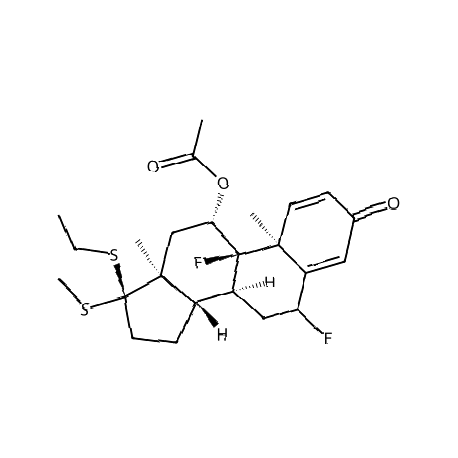 CCS[C@]1(SC)CC[C@H]2[C@@H]3CC(F)C4=CC(=O)C=C[C@]4(C)[C@@]3(F)[C@@H](OC(C)=O)C[C@@]21C